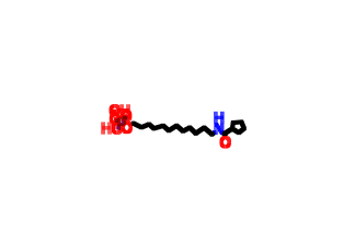 O=C(NCCCCCCCCCCCCOP(=O)(O)OO)C1CCCC1